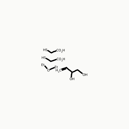 C=CC(O)CO.CCOCC.O=C(O)CS.O=C(O)CS